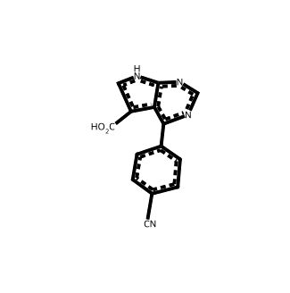 N#Cc1ccc(-c2ncnc3[nH]cc(C(=O)O)c23)cc1